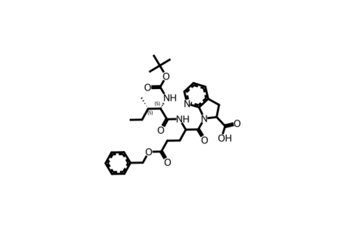 CC[C@H](C)[C@H](NC(=O)OC(C)(C)C)C(=O)NC(CCC(=O)OCc1ccccc1)C(=O)N1c2ncccc2CC1C(=O)O